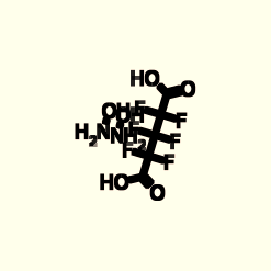 NO.NO.O=C(O)C(F)(F)C(F)(F)C(F)(F)C(=O)O